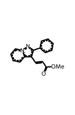 COC(=O)C=Cc1c(-c2ccccc2)nn2ccccc12